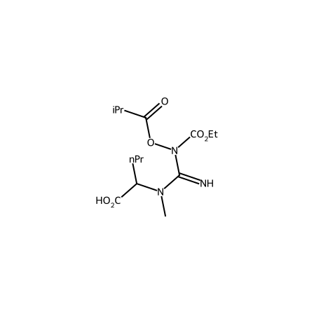 CCCC(C(=O)O)N(C)C(=N)N(OC(=O)C(C)C)C(=O)OCC